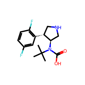 CC(C)(C)N(C(=O)O)[C@@H]1CNC[C@H]1c1cc(F)ccc1F